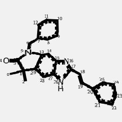 CC1(C)C(=O)N(Cc2ccccc2)c2cc3nc(C=Cc4ccccc4)[nH]c3cc21